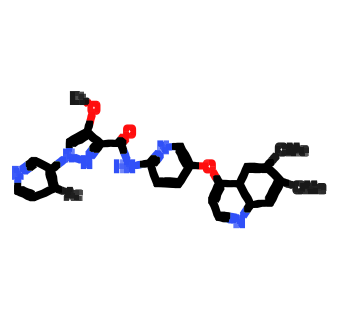 CCOc1cn(-c2cnccc2C(C)=O)nc1C(=O)Nc1ccc(OC2=CC=NC3C=C(OC)C(OC)=CC23)cn1